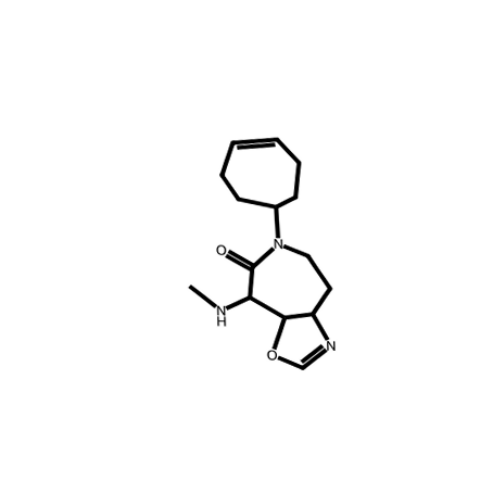 CNC1C(=O)N(C2CCC=CCC2)CCC2N=COC21